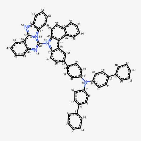 c1ccc(-c2ccc(N(c3ccc(-c4ccccc4)cc3)c3ccc(-c4ccc5c(c4)c4c6ccccc6ccc4n5-c4nc5ccccc5c5nc6ccccc6n45)cc3)cc2)cc1